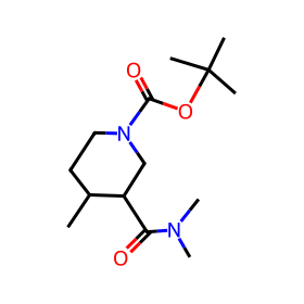 CC1CCN(C(=O)OC(C)(C)C)CC1C(=O)N(C)C